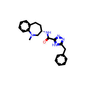 CN1C[C@@H](NC(=O)c2nnc(Cc3ccccc3)[nH]2)CCc2ccccc21